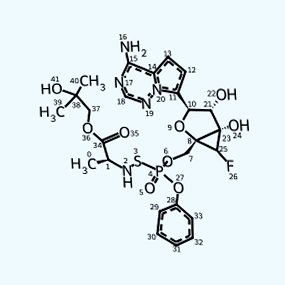 C[C@H](NSP(=O)(OC[C@@]12O[C@@H](c3ccc4c(N)ncnn34)[C@H](O)[C@@]1(O)C2F)Oc1ccccc1)C(=O)OCC(C)(C)O